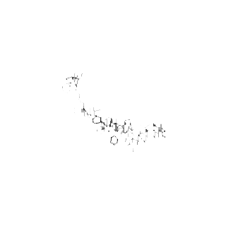 CC[C@H](C)[C@@H]([C@@H](CC(=O)N1CCCC1[C@H](OC)[C@@H](C)C(=O)NC(Cc1ccccc1)C(=O)Nc1ccc(CNC(=O)CCCCCN2C(=O)C=CC2=O)cc1)OC)N(C)C(=O)C(N=C1N(C)CCN1C)C(C)C